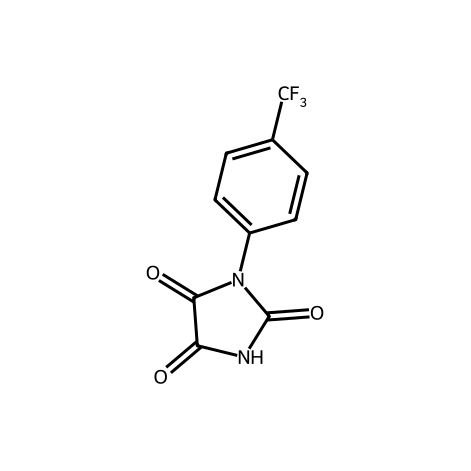 O=C1NC(=O)N(c2ccc(C(F)(F)F)cc2)C1=O